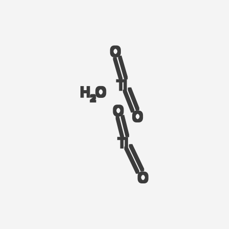 O.[O]=[Ti]=[O].[O]=[Ti]=[O]